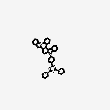 c1ccc(-c2nc(-c3ccccc3)nc(-c3ccc(-n4c5ccccc5c5c6c7ccccc7n7c8ccccc8cc7c6ccc54)cc3)n2)cc1